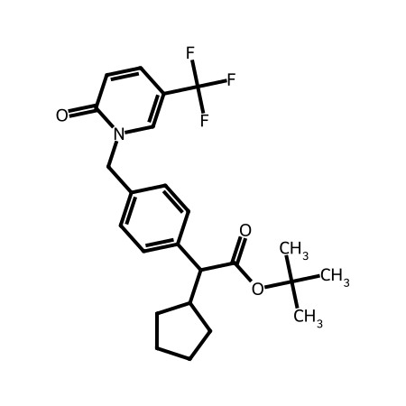 CC(C)(C)OC(=O)C(c1ccc(Cn2cc(C(F)(F)F)ccc2=O)cc1)C1CCCC1